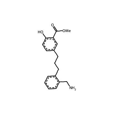 COC(=O)c1cc(CCCc2ccccc2CN)ccc1O